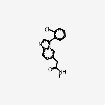 CNC(=O)Cc1ccc2ncc(-c3ccccc3Cl)n2c1